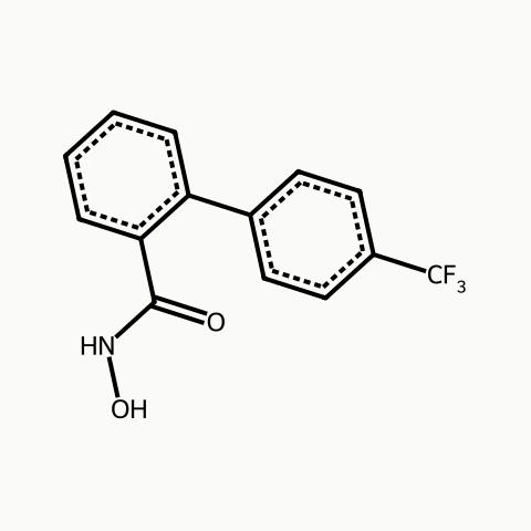 O=C(NO)c1ccccc1-c1ccc(C(F)(F)F)cc1